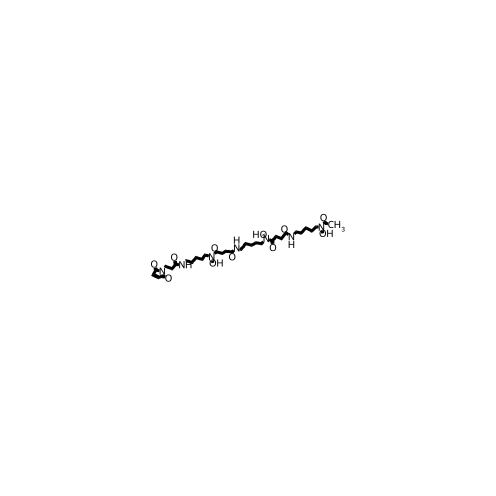 CC(=O)N(O)CCCCCNC(=O)CCC(=O)N(O)CCCCCNC(=O)CCC(=O)N(O)CCCCCNC(=O)CCN1C(=O)C=CC1=O